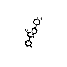 O=c1cc(-c2cccc(F)c2)nc2ccc(N3CCNCC3)cn12